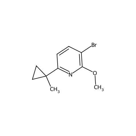 COc1nc(C2(C)CC2)ccc1Br